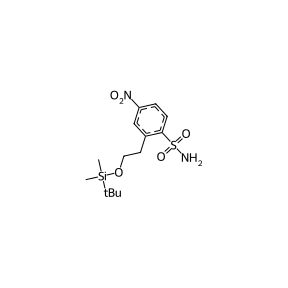 CC(C)(C)[Si](C)(C)OCCc1cc([N+](=O)[O-])ccc1S(N)(=O)=O